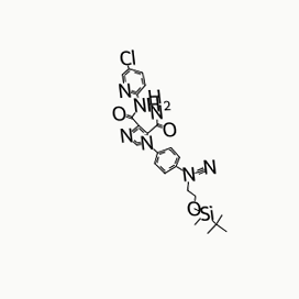 CC(C)(C)[Si](C)(C)OCCN(C#N)c1ccc(-n2cnc(C(=O)Nc3ccc(Cl)cn3)c2C(N)=O)cc1